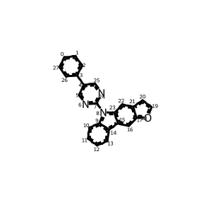 c1ccc(-c2cnc(-n3c4ccccc4c4cc5occc5cc43)nc2)cc1